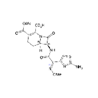 CO/N=C(/C(=O)N[C@@H]1C(=O)N2C(C(=O)O)=C(C(=O)OC)CC[C@H]12)c1csc(N)n1